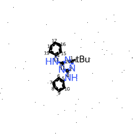 CC(C)(C)c1nc(Nc2ccccc2)nc(Nc2ccccc2)n1